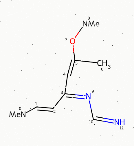 CN/C=C/C(/C=C(\C)ONC)=N\C=N